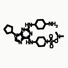 CN(C)OS(=O)(=O)N1CCC(Nc2nc(NC3CCC(N)CC3)nc3c2ncn3C2CCCC2)CC1